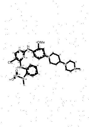 COc1cc(N2CCC(N3CCN(C)CC3)CC2)ccc1Nc1ncc(Cl)c(Nc2ccccc2N(C)[SH](=O)=O)n1